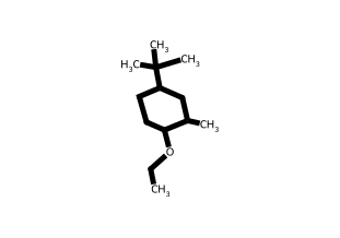 CCOC1CCC(C(C)(C)C)CC1C